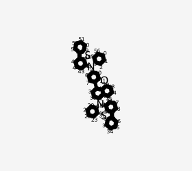 c1ccc(N(c2ccc3c(c2)Oc2cccc4c(N(c5ccccc5)c5cccc6c5sc5ccccc56)ccc-3c24)c2cccc3c2sc2ccccc23)cc1